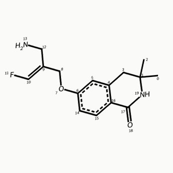 CC1(C)Cc2cc(OCC(=CF)CN)ccc2C(=O)N1